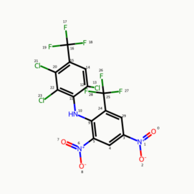 O=[N+]([O-])c1cc([N+](=O)[O-])c(Nc2c(Cl)cc(C(F)(F)F)c(Cl)c2Cl)c(C(F)(F)F)c1